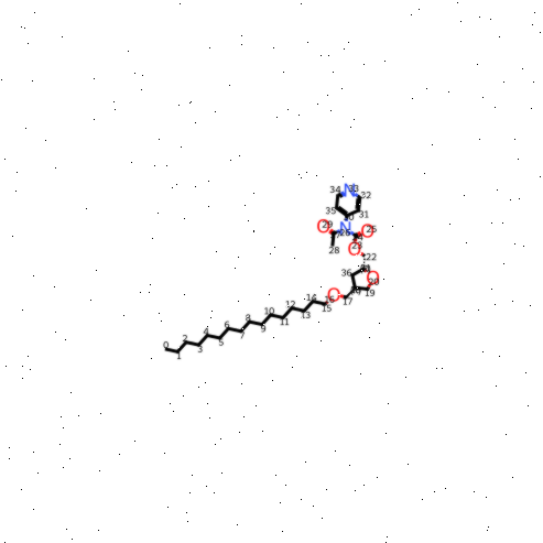 CCCCCCCCCCCCCCCCOC[C@@H]1CO[C@@H](COC(=O)N(C(C)=O)c2ccncc2)C1